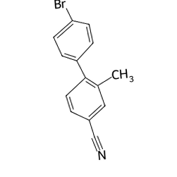 Cc1cc(C#N)ccc1-c1ccc(Br)cc1